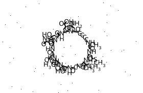 CC[C@H](C)[C@@H]1NC(=O)[C@H](CCSC)NC(=O)[C@H](C)NCCCCC(=O)[C@H](CC(N)=O)NC(=O)[C@H](CCC(=O)O)NC(=O)[C@H](CC(=O)O)NC(=O)[C@H](CCC(N)=O)NC(=O)[C@H](CC(=O)O)NC(=O)[C@H](C(C)C)NC(=O)[C@H](CO)NC(=O)CNC1=O